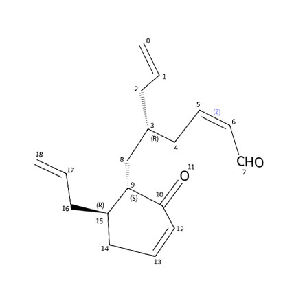 C=CC[C@H](C/C=C\C=O)C[C@@H]1C(=O)C=CC[C@H]1CC=C